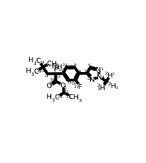 [2H]C([2H])([2H])n1ncc(-c2ccc([C@](N)(CC(C)(C)C)C(=O)OC(C)C)cc2F)n1